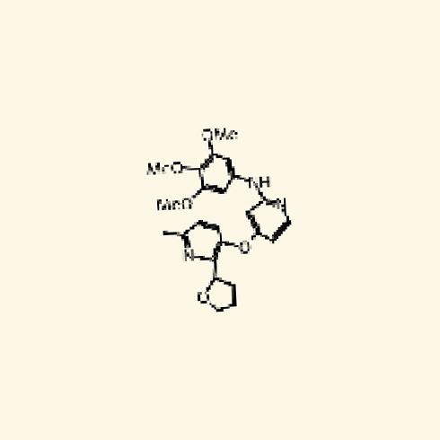 COc1cc(Nc2cc(Oc3ccc(C)nc3C3CCCO3)ccn2)cc(OC)c1OC